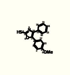 COc1ccc(-c2oc(S)nc2-c2ccccc2)cc1